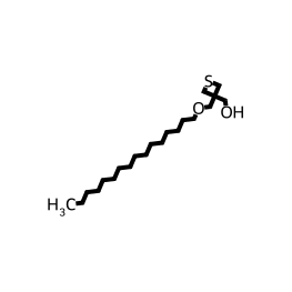 CCCCCCCCCCCCCCCCOCC1(CO)CSC1